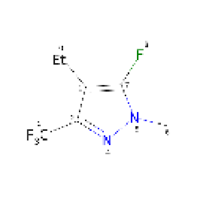 CCc1c(C(F)(F)F)nn(C)c1F